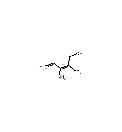 B/C(CO)=C(\N)C=C